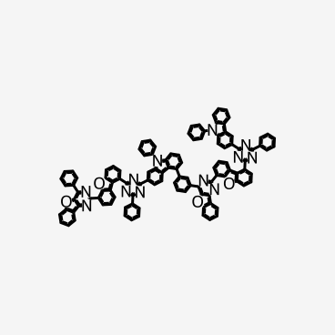 c1ccc(-c2nc(-c3ccc4c5c(-c6cccc(-c7nc(-c8cccc9c8oc8cccc(-c%10nc(-c%11ccccc%11)nc(-c%11ccc%12c(c%11)c%11ccccc%11n%12-c%11ccccc%11)n%10)c89)nc8c7oc7ccccc78)c6)cccc5n(-c5ccccc5)c4c3)nc(-c3cccc4oc5c(-c6nc(-c7ccccc7)c7oc8ccccc8c7n6)cccc5c34)n2)cc1